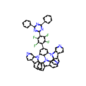 Fc1c(F)c(-c2nc(-c3ccccc3)nc(-c3ccccc3)n2)c(F)c(F)c1-c1cc(-n2c3ccccc3c3ccncc32)c(-n2c3ccccc3c3ccncc32)c(-n2c3ccccc3c3ccncc32)c1